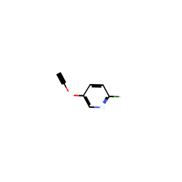 C#COc1ccc(Cl)nc1